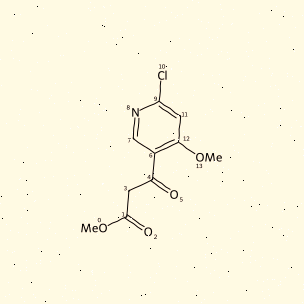 COC(=O)CC(=O)c1cnc(Cl)cc1OC